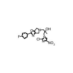 C[C@](O)(CN1Cc2nc(-c3ccc(F)cc3)oc2C1)Cn1cc([N+](=O)[O-])nc1Cl